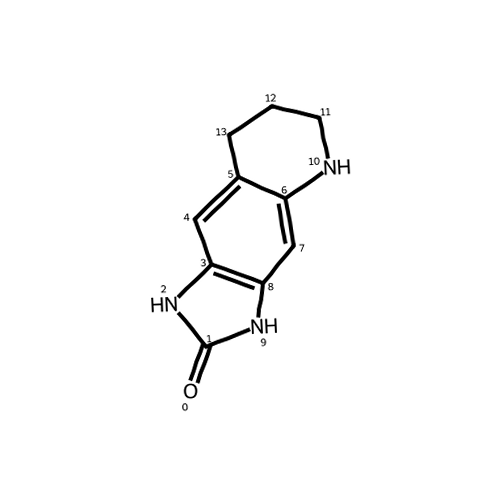 O=c1[nH]c2cc3c(cc2[nH]1)NCCC3